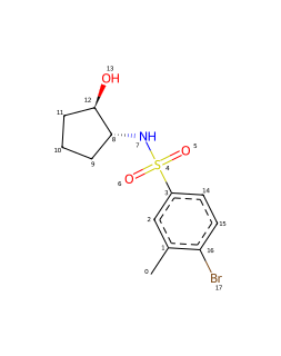 Cc1cc(S(=O)(=O)N[C@@H]2CCC[C@H]2O)ccc1Br